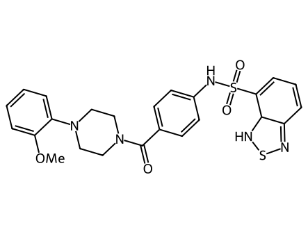 COc1ccccc1N1CCN(C(=O)c2ccc(NS(=O)(=O)C3=CC=CC4=NSNC34)cc2)CC1